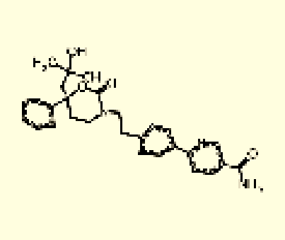 CC(C)(O)C[C@]1(c2ccccc2)CCN(CCc2ccc(-c3ccc(C(N)=O)cn3)cc2)C(=O)O1